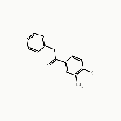 Nc1cc(C(=O)Cc2ccccc2)ccc1Cl